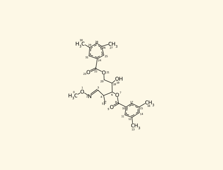 CON=CC(F)C(OC(=O)c1cc(C)cc(C)c1)C(O)COC(=O)c1cc(C)cc(C)c1